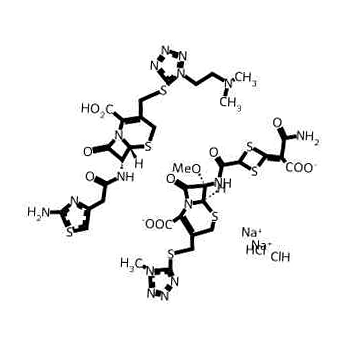 CN(C)CCn1nnnc1SCC1=C(C(=O)O)N2C(=O)[C@@H](NC(=O)Cc3csc(N)n3)[C@H]2SC1.CO[C@@]1(NC(=O)C2SC(=C(C(N)=O)C(=O)[O-])S2)C(=O)N2C(C(=O)[O-])=C(CSc3nnnn3C)CS[C@@H]21.Cl.Cl.[Na+].[Na+]